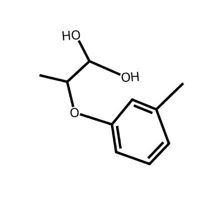 Cc1cccc(OC(C)C(O)O)c1